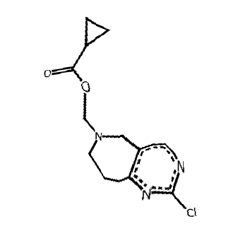 O=C(OCN1CCc2nc(Cl)ncc2C1)C1CC1